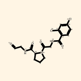 O=CCNC(=O)[C@@H]1CCCN1C(=O)CNC(=O)c1ccc(Cl)cc1Cl